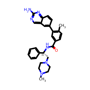 Cc1ccc(C(=O)N[C@H](CN2CCN(C)CC2)c2ccccc2)cc1-c1ccc2nc(N)ncc2c1